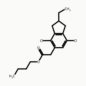 CCCCOC(=O)Cc1cc(Cl)c2c(c1Cl)CC(CC)C2